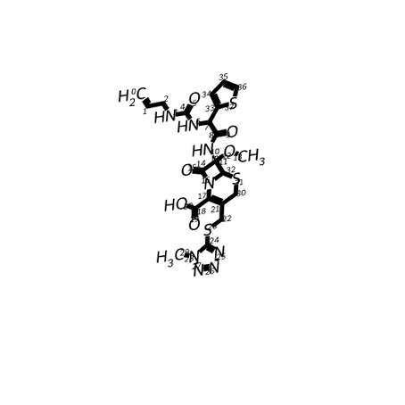 C=CCNC(=O)NC(C(=O)N[C@@]1(OC)C(=O)N2C(C(=O)O)=C(CSc3nnnn3C)CSC21)c1cccs1